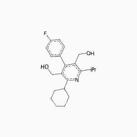 CC(C)c1nc(C2CCCCC2)c(CO)c(-c2ccc(F)cc2)c1CO